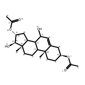 CC(=O)O[C@H]1CC[C@@]2(C)C(=CC(O)C3C2CC[C@@]2(C)C3C[C@@H](OC(C)=O)[C@@H]2O)C1